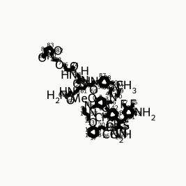 COc1ccccc1-c1nccc(COc2ccccc2CC(Oc2ncnc3sc(-c4cc(N)c(F)c(F)c4)c(-c4ccc(OCCN5CC[N+](C)(Cc6ccc(NC(=O)C(CCCNC(N)=O)NC(=O)CNC(=O)CCOCCN7C(=O)C=CC7=O)cc6)CC5)c(Cl)c4C)c23)C(=O)O)n1